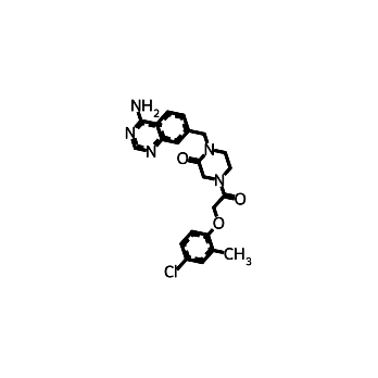 Cc1cc(Cl)ccc1OCC(=O)N1CCN(Cc2ccc3c(N)ncnc3c2)C(=O)C1